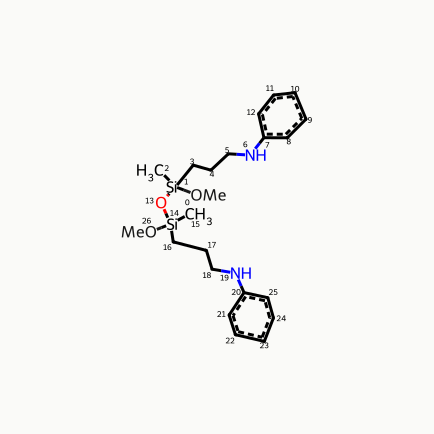 CO[Si](C)(CCCNc1ccccc1)O[Si](C)(CCCNc1ccccc1)OC